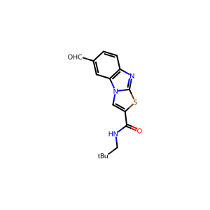 CC(C)(C)CNC(=O)c1cn2c(nc3ccc(C=O)cc32)s1